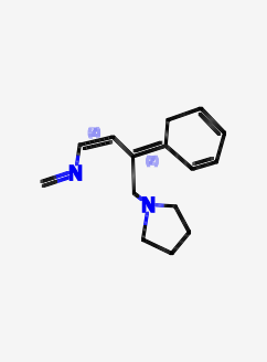 C=N/C=C\C(CN1CCCC1)=C1\C=CC=CC1